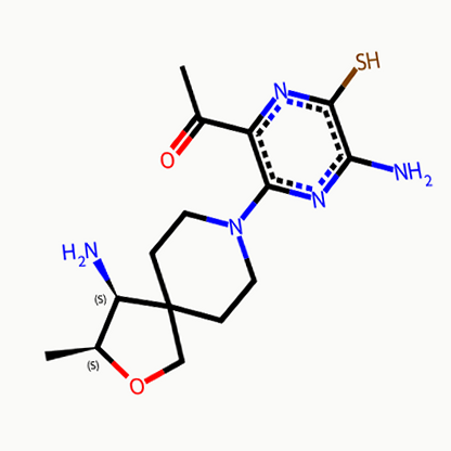 CC(=O)c1nc(S)c(N)nc1N1CCC2(CC1)CO[C@@H](C)[C@H]2N